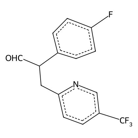 O=CC(Cc1ccc(C(F)(F)F)cn1)c1ccc(F)cc1